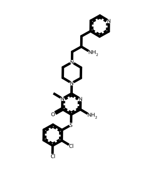 Cn1c(N2CCN(CC(N)Cc3ccncc3)CC2)nc(N)c(Sc2cccc(Cl)c2Cl)c1=O